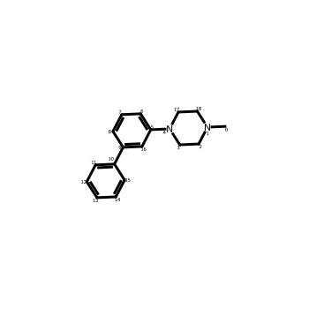 CN1CCN(c2cccc(-c3ccccc3)c2)CC1